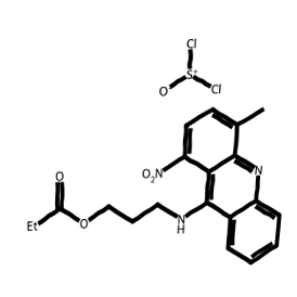 CCC(=O)OCCCNc1c2ccccc2nc2c(C)ccc([N+](=O)[O-])c12.[O-][S+](Cl)Cl